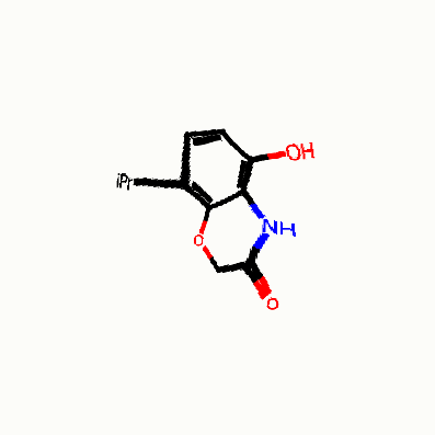 CC(C)c1ccc(O)c2c1OCC(=O)N2